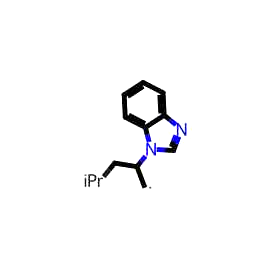 [CH2]C(CC(C)C)n1cnc2ccccc21